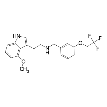 COc1cccc2[nH]cc(CCNCc3cccc(OCC(F)(F)F)c3)c12